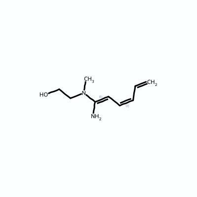 C=C/C=C\C=C(/N)N(C)CCO